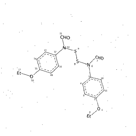 CCOc1ccc(N(C=O)SSN(C=O)c2ccc(OCC)cc2)cc1